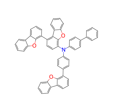 c1ccc(-c2ccc(N(c3ccc(-c4cccc5c4oc4ccccc45)cc3)c3ccc(-c4cccc5c4oc4ccccc45)c4c3oc3ccccc34)cc2)cc1